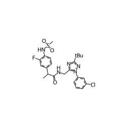 CC(C(=O)NCc1nc(C(C)(C)C)nn1-c1cccc(Cl)c1)c1ccc(NS(C)(=O)=O)c(F)c1